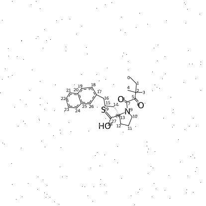 CCC(C)(C)C(=O)C(=O)N1CCC[C@@]1(CCCc1ccc2ccccc2c1)C(O)=S